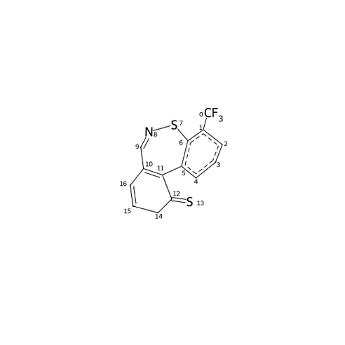 FC(F)(F)c1cccc2c1SN=CC1=C2C(=S)CC=C1